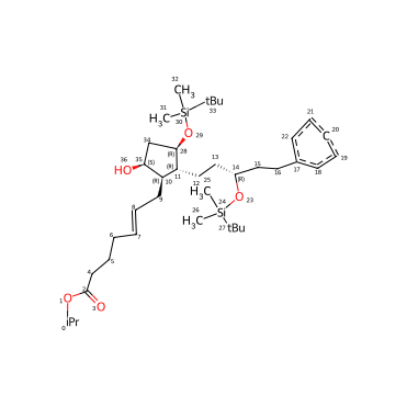 CC(C)OC(=O)CCCC=CC[C@@H]1[C@@H](CC[C@H](CCc2ccccc2)O[Si](C)(C)C(C)(C)C)[C@H](O[Si](C)(C)C(C)(C)C)C[C@@H]1O